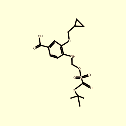 CC(C)(C)OC(=O)S(=O)(=O)OCNc1ccc(C(=O)O)cc1OCC1CC1